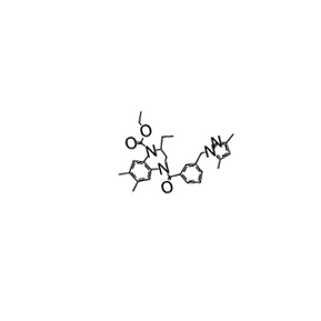 CCOC(=O)N1c2cc(C)c(C)cc2N(C(=O)c2cccc(Cn3nc(C)cc3C)c2)CC1CC